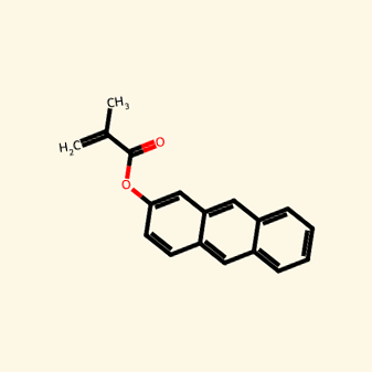 C=C(C)C(=O)Oc1ccc2cc3ccccc3cc2c1